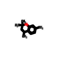 Cc1ccc2c(c1)OC(C)(C)CC2C